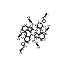 C#CCOc1ccc(C2c3c(n(CC#C)c4ccccc34)C(c3ccc(OCC#C)cc3OCC#C)c3c2n(CC#C)c2ccccc32)c(OCC#C)c1